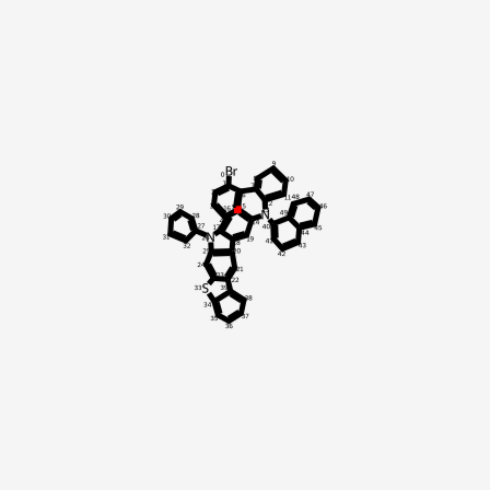 Brc1ccccc1-c1ccccc1N(c1ccc2c(c1)c1cc3c(cc1n2-c1ccccc1)sc1ccccc13)c1cccc2ccccc12